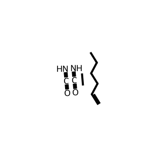 C=CCCCC.CC.N=C=O.N=C=O